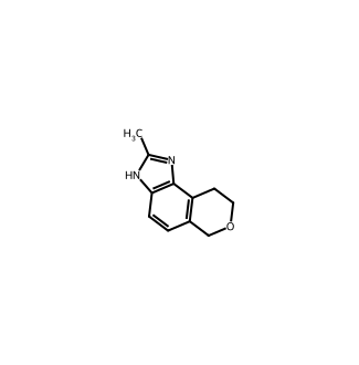 Cc1nc2c3c(ccc2[nH]1)COCC3